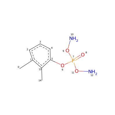 Cc1cccc(OP(=O)(ON)ON)c1C